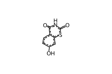 O=c1[nH]c(=O)c2ccc(O)cc2s1